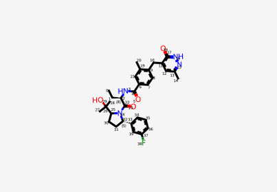 CC[C@@H](NC(=O)c1ccc(Cc2cc(C)n[nH]c2=O)c(C)c1)C(=O)N1C(C(C)(C)O)CC[C@H]1c1cccc(F)c1